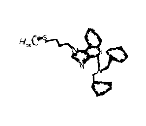 CSCCCCn1cnc2c(N(Cc3ccccc3)Cc3ccccc3)nc3ccccc3c21